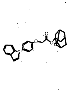 O=C(COc1ccc(-[s+]2ccc3ccccc32)cc1)OC12CC3CC(C1)C(=O)C(C3)C2